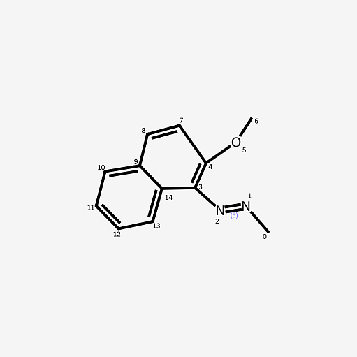 C/N=N/c1c(OC)ccc2ccccc12